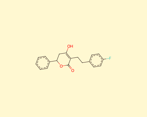 O=C1OC(c2ccccc2)CC(O)=C1CCc1ccc(F)cc1